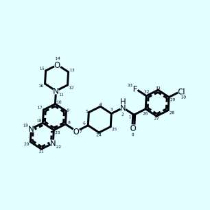 O=C(NC1CCC(Oc2cc(N3CCOCC3)cc3nccnc23)CC1)c1ccc(Cl)cc1F